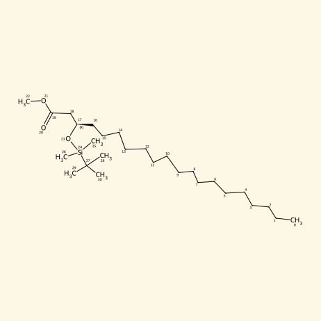 CCCCCCCCCCCCCCCCC[C@H](CC(=O)OC)O[Si](C)(C)C(C)(C)C